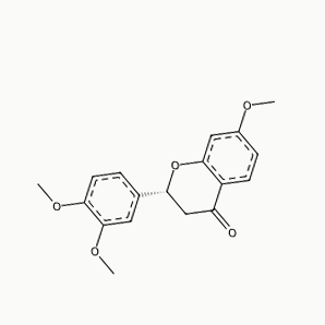 COc1ccc2c(c1)O[C@@H](c1ccc(OC)c(OC)c1)CC2=O